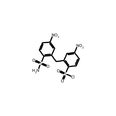 NS(=O)(=O)c1ccc([N+](=O)[O-])cc1Cc1cc([N+](=O)[O-])ccc1S(=O)(=O)Cl